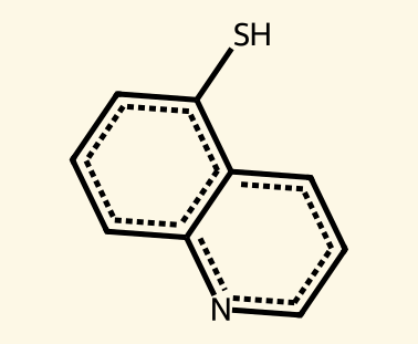 Sc1cccc2ncccc12